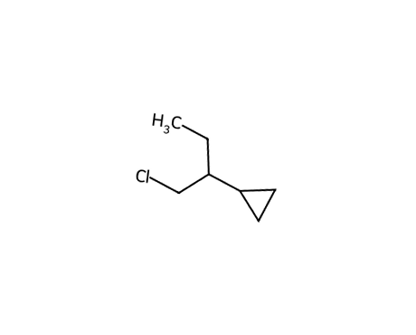 CCC(CCl)C1CC1